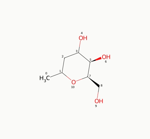 CC1CC(O)[C@@H](O)[C@@H](CO)O1